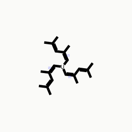 CC(C)=C/C(C)=[CH]\[U](/[CH]=C(/C)C=C(C)C)/[CH]=C(/C)C=C(C)C